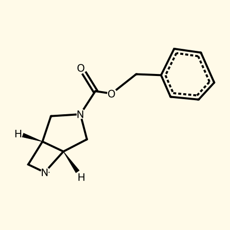 O=C(OCc1ccccc1)N1C[C@H]2C[N][C@H]2C1